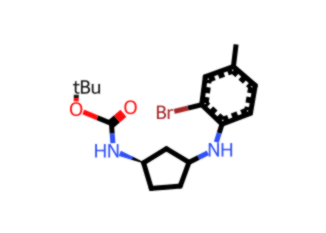 Cc1ccc(NC2CC[C@@H](NC(=O)OC(C)(C)C)C2)c(Br)c1